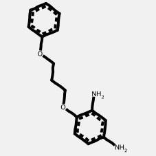 Nc1ccc(OCCCOc2ccccc2)c(N)c1